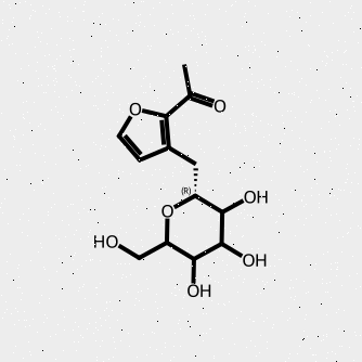 CC(=O)c1occc1C[C@H]1OC(CO)C(O)C(O)C1O